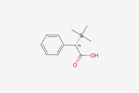 C[Si](C)(C)[C@H](C(=O)O)c1ccccc1